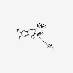 CC(=O)N[C@@H](Cc1ccc(F)c(F)c1)C(=O)NCCCCN